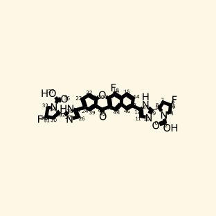 O=C(O)N1C[C@@H](F)C[C@H]1c1ncc(-c2ccc3c(F)c4oc5ccc(-c6cnc([C@@H]7C[C@H](F)CN7C(=O)O)[nH]6)cc5c(=O)c4cc3c2)[nH]1